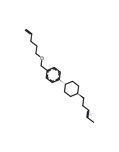 C=CCCCOCc1ccc([C@H]2CC[C@H](CC/C=C/C)CC2)cc1